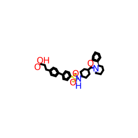 O=C(O)CCc1ccc(-c2ccc(S(=O)(=O)NC3CCC(C(=O)N4CCCC[C@@H]4c4ccccc4)CC3)cc2)cc1